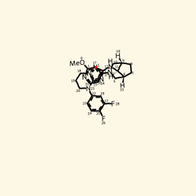 COc1cc(N2C[C@H]3CC[C@@H](C2)[C@@H]3Nc2nc3n(n2)CCCN3c2ccc(F)c(F)c2)ccn1